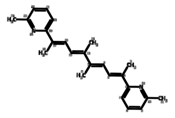 CC(=C\C=C(/C)c1cccc(C)n1)/C(C)=C/C=C(\C)c1cccc(C)n1